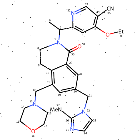 CCOc1cc(C(C)N2CCc3c(CN4CCOCC4)cc(Cn4ccnc4NC)cc3C2=O)ncc1C#N